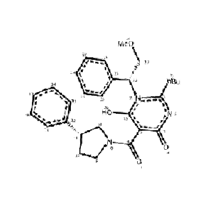 CCCCc1nc(=O)c(C(=O)N2CC[C@H](c3ccccc3)C2)c(O)n1[C@@H](COC)c1ccccc1